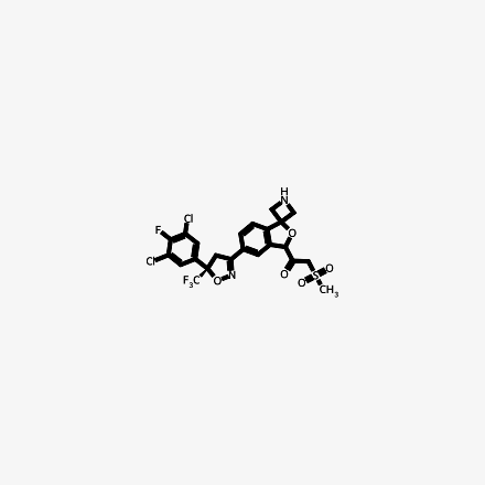 CS(=O)(=O)CC(=O)C1OC2(CNC2)c2ccc(C3=NO[C@@](c4cc(Cl)c(F)c(Cl)c4)(C(F)(F)F)C3)cc21